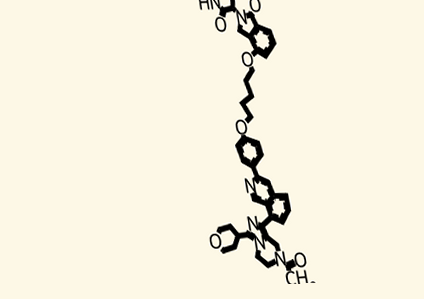 CC(=O)N1CCn2c(C3CCOCC3)nc(-c3cccc4cc(-c5ccc(OCCCCCOc6cccc7c6CN(C6CCC(=O)NC6=O)C7=O)cc5)ncc34)c2C1